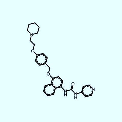 O=C(Nc1ccncc1)Nc1ccc(OCc2ccc(OCCN3CCCCC3)cc2)c2ccccc12